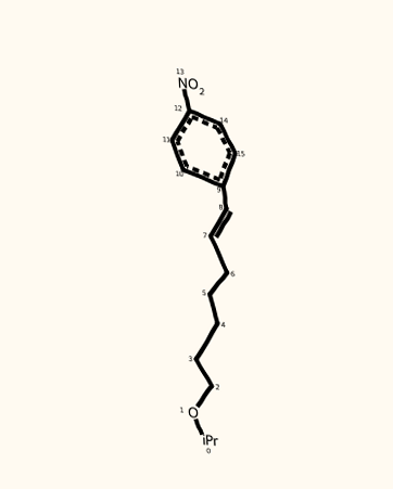 CC(C)OCCCCC/C=C/c1ccc([N+](=O)[O-])cc1